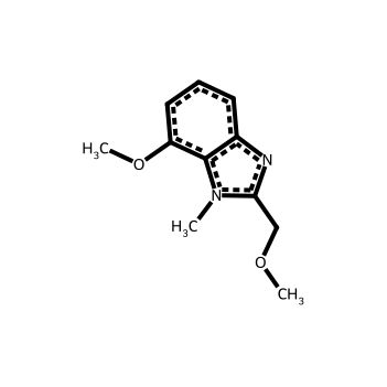 COCc1nc2cccc(OC)c2n1C